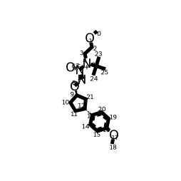 COCCN(/[N+]([O-])=N/O[C@@H]1CC[C@@H](c2ccc(OC)cc2)C1)C(C)(C)C